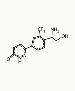 NC(CO)c1ccc(-c2ccc(=O)[nH]n2)cc1C(F)(F)F